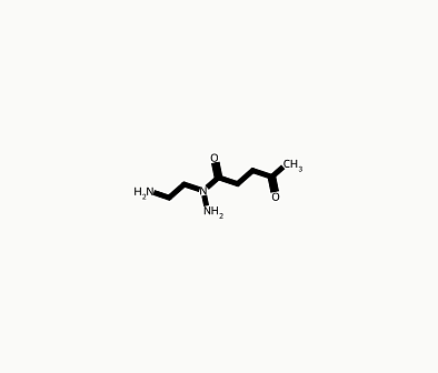 CC(=O)CCC(=O)N(N)CCN